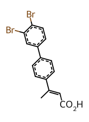 CC(=CC(=O)O)c1ccc(-c2ccc(Br)c(Br)c2)cc1